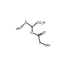 CCCSC(OC(=O)CO)C(=O)O